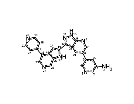 Nc1cncc(-c2cnc3[nH]nc(-c4cc5c(-c6ccncc6)cncc5[nH]4)c3c2)c1